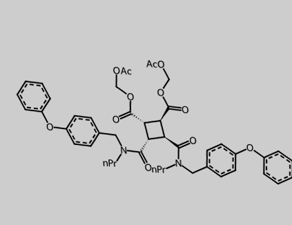 CCCN(Cc1ccc(Oc2ccccc2)cc1)C(=O)[C@@H]1[C@H](C(=O)OCOC(C)=O)[C@@H](C(=O)OCOC(C)=O)[C@H]1C(=O)N(CCC)Cc1ccc(Oc2ccccc2)cc1